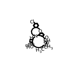 CCC[C@@]1(O)CCC[C@H](C)[C@@H](C)S(=O)(=O)NC(=O)c2ccc3c(c2)N(CCCCc2cc(Cl)ccc2CO3)C[C@@H]2CC[C@H]21